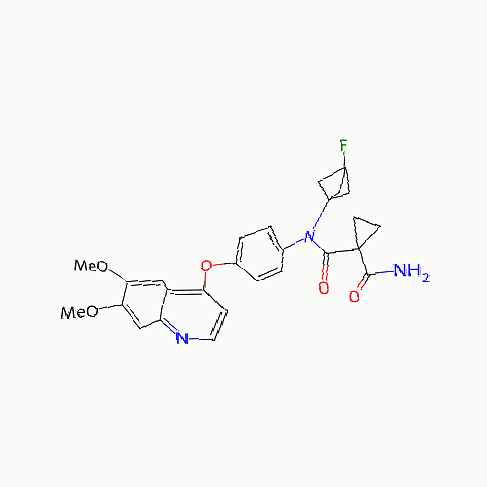 COc1cc2nccc(Oc3ccc(N(C(=O)C4(C(N)=O)CC4)C45CC(F)(C4)C5)cc3)c2cc1OC